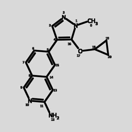 Cn1ncc(-c2ccc3cnc(N)cc3c2)c1OC1CC1